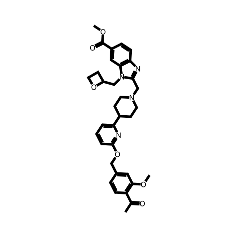 COC(=O)c1ccc2nc(CN3CCC(c4cccc(OCc5ccc(C(C)=O)c(OC)c5)n4)CC3)n(CC3CCO3)c2c1